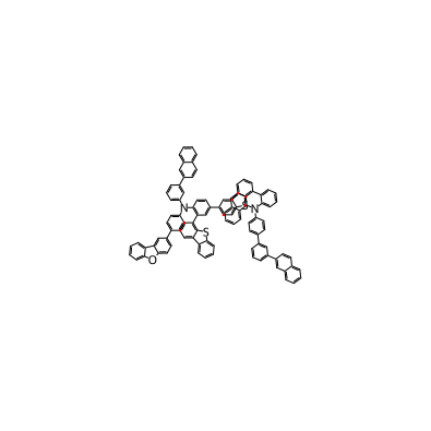 c1cc(-c2ccc(N(c3ccccc3-c3cccc4c3sc3ccc(-c5ccc(N(c6ccc(-c7ccc8oc9ccccc9c8c7)cc6)c6cccc(-c7ccc8ccccc8c7)c6)c(-c6cccc7c6sc6ccccc67)c5)cc34)c3cccc4ccccc34)cc2)cc(-c2ccc3ccccc3c2)c1